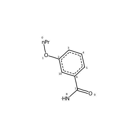 CCCOc1cccc(C([NH])=O)c1